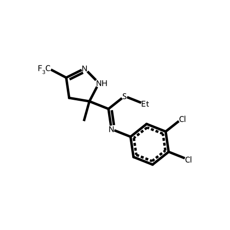 CCSC(=Nc1ccc(Cl)c(Cl)c1)C1(C)CC(C(F)(F)F)=NN1